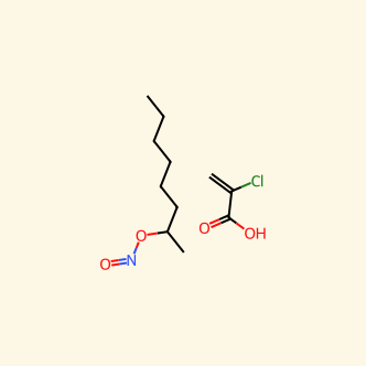 C=C(Cl)C(=O)O.CCCCCCC(C)ON=O